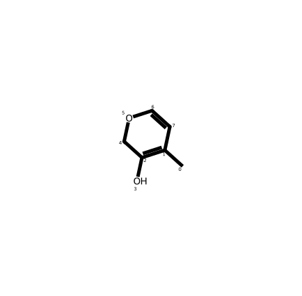 CC1=C(O)[CH]OC=C1